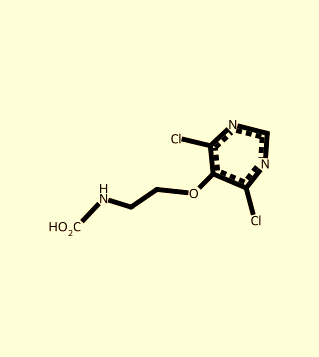 O=C(O)NCCOc1c(Cl)ncnc1Cl